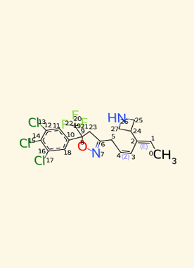 C/C=C(\C=C/CC1=NOC(c2cc(Cl)c(Cl)c(Cl)c2)(C(F)(F)F)C1)C1CNC1